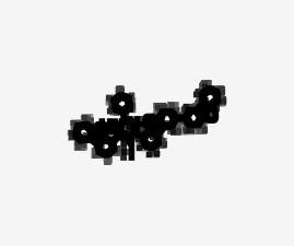 c1ccc(C2NC(c3cccc4c3oc3ccccc34)NC(c3cccc4c3oc3ccc(-c5ccc6oc7ccccc7c6c5)cc34)N2)cc1